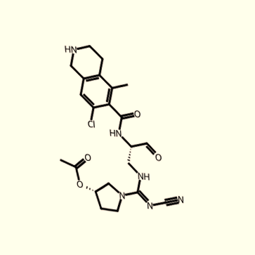 CC(=O)O[C@H]1CCN(/C(=N/C#N)NC[C@@H](C=O)NC(=O)c2c(Cl)cc3c(c2C)CCNC3)C1